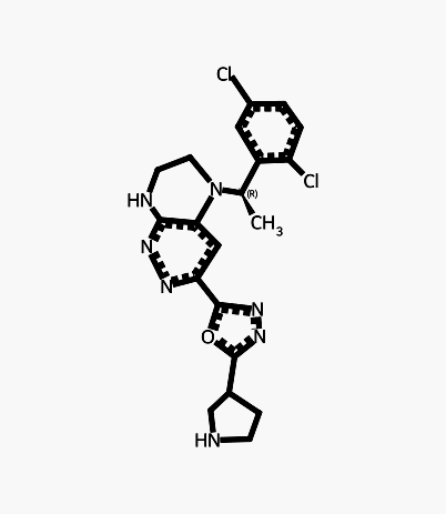 C[C@H](c1cc(Cl)ccc1Cl)N1CCNc2nnc(-c3nnc(C4CCNC4)o3)cc21